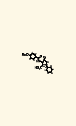 COc1ccc(C(=O)NN2C(=O)CC(c3ccccc3)C2C(=O)O)cc1